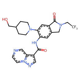 O=C(Nc1cc2c(cc1N1CCC(CO)CC1)C(=O)N(CC(F)(F)F)C2)c1cnn2ccncc12